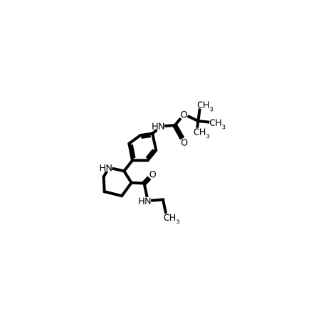 CCNC(=O)C1CCCNC1c1ccc(NC(=O)OC(C)(C)C)cc1